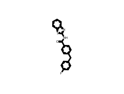 O=C(Nc1nc2ccccc2s1)c1ccc(Cc2ccc(F)cc2)cc1